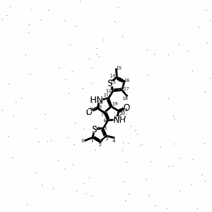 Cc1cc(C)c(C2=C3C(=O)NC(c4sc(C)cc4C)=C3C(=O)N2)s1